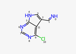 N=Cc1c[nH]c2ncnc(Cl)c12